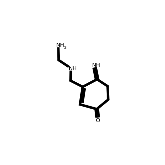 N=C1CCC(=O)C=C1CNCN